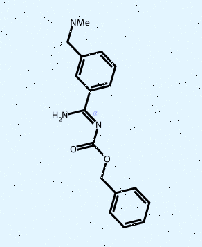 CNCc1cccc(/C(N)=N/C(=O)OCc2ccccc2)c1